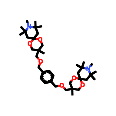 CN1C(C)(C)CC2(CC1(C)C)OCC(C)(COCc1ccc(COCC3(C)COC4(CC(C)(C)N(C)C(C)(C)C4)OC3)cc1)CO2